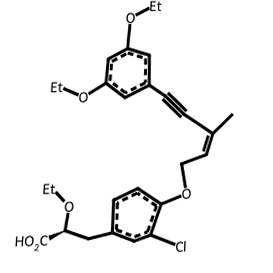 CCOc1cc(C#C/C(C)=C\COc2ccc(C[C@H](OCC)C(=O)O)cc2Cl)cc(OCC)c1